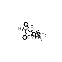 COc1ccccc1CCC(C)N(Cc1ccccc1)CC(O)c1ccc(C)c(S(N)(=O)=O)c1